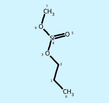 CCCO[Si](=O)OC